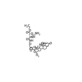 C=CCOC(=O)CC[C@H](NC(=O)CN)C(=O)NCOCc1coc(C(=O)OC2C(C)CC3C4CCC5=CC(=O)C=CC5(C)C4C(O)CC32C)c1